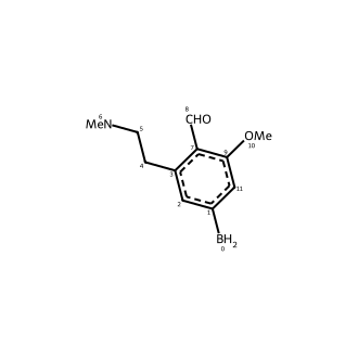 Bc1cc(CCNC)c(C=O)c(OC)c1